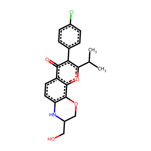 CC(C)c1oc2c3c(ccc2c(=O)c1-c1ccc(Cl)cc1)NC(CO)CO3